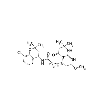 COCC[C@H]([C@@H]1C[C@H]1C(=O)NC1CC(C)(C)Oc2c(Cl)cccc21)N1C(=N)NC(C)(C)CC1=O